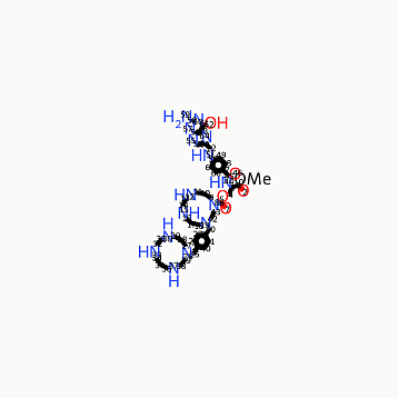 COC(=O)C(COC(=O)N1CCCNCCNCCCN(Cc2ccc(CN3CCCNCCNCCCNCC3)cc2)CC1)NC(=O)c1ccc(NCc2cnc3nc(N)nc(O)c3n2)cc1